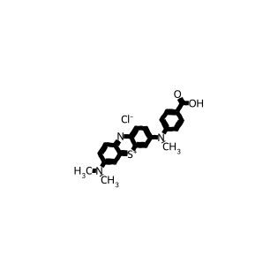 CN(C)c1ccc2nc3ccc(N(C)c4ccc(C(=O)O)cc4)cc3[s+]c2c1.[Cl-]